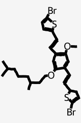 COc1cc(/C=C/C2CC=C(Br)S2)c(OCCC(C)CCCC(C)C)cc1/C=C/c1ccc(Br)s1